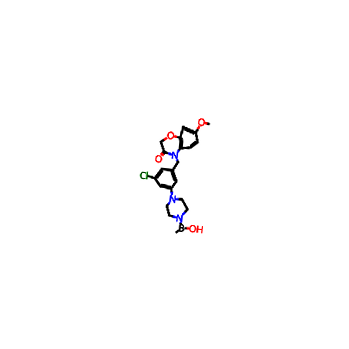 COc1ccc2c(c1)OCC(=O)N2Cc1cc(Cl)cc(N2CCN(B(C)O)CC2)c1